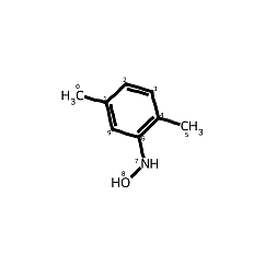 Cc1ccc(C)c(NO)c1